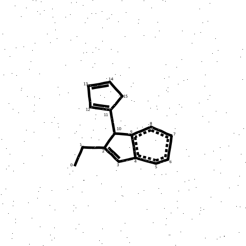 CCC1=Cc2ccccc2C1C1=CC=CC1